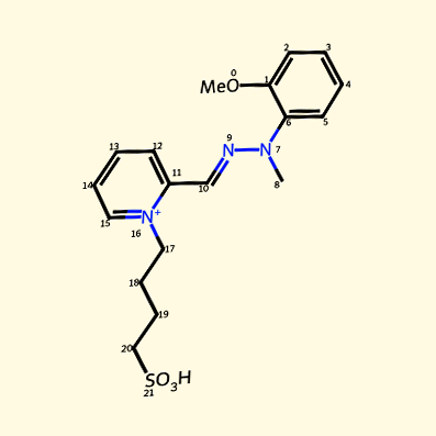 COc1ccccc1N(C)N=Cc1cccc[n+]1CCCCS(=O)(=O)O